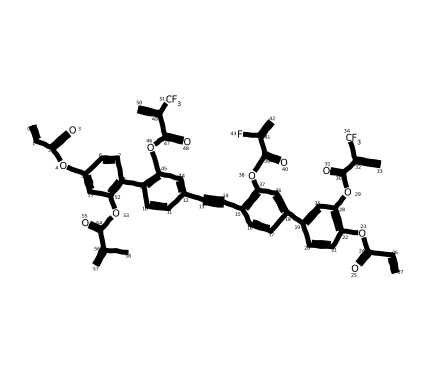 C=CC(=O)Oc1ccc(-c2ccc(C#Cc3ccc(-c4ccc(OC(=O)C=C)c(OC(=O)C(=C)C(F)(F)F)c4)cc3OC(=O)C(=C)F)cc2OC(=O)C(=C)C(F)(F)F)c(OC(=O)C(=C)C)c1